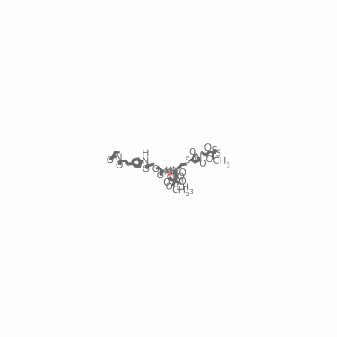 CC(=O)C1(C(=O)CCN2C(=O)CC(SCCC(=O)N[C@H](CNC(=O)COCC(=O)Nc3ccc(CCC(=O)N4CCC4=O)cc3)C(=O)C(C(C)=O)(C(C)=O)C(C)=O)C2=O)SS1